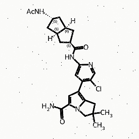 CC(=O)N[C@H]1C[C@@H]2C[C@H](C(=O)Nc3cc(-c4cc(C(N)=O)n5c4CC(C)(C)C5)c(Cl)cn3)C[C@@H]2C1